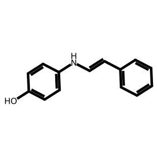 Oc1ccc(NC=Cc2ccccc2)cc1